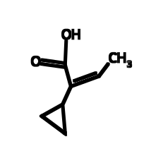 CC=C(C(=O)O)C1CC1